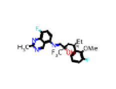 CC[C@H](C[C@@](O)(C=Nc1ccc(F)c2nc(C)ncc12)C(F)(F)F)c1cccc(F)c1OC